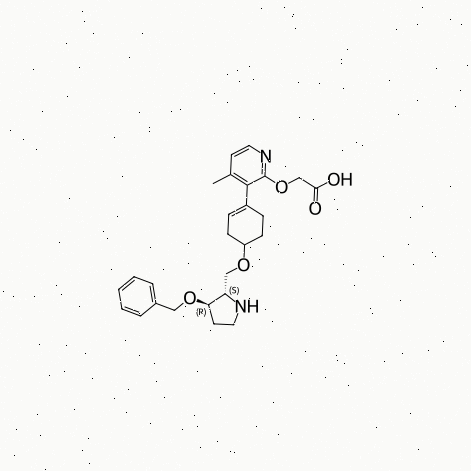 Cc1ccnc(OCC(=O)O)c1C1=CCC(OC[C@@H]2NCC[C@H]2OCc2ccccc2)CC1